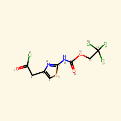 O=C(Cl)Cc1csc(NC(=O)OCC(Cl)(Cl)Cl)n1